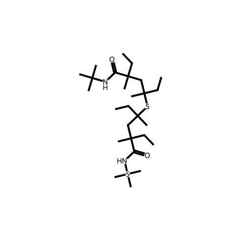 CCC(C)(CC(C)(CC)C(=O)NC(C)(C)C)SC(C)(CC)CC(C)(CC)C(=O)NS(C)(C)C